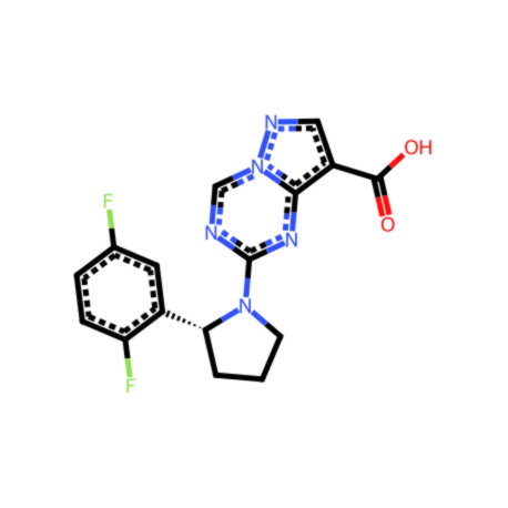 O=C(O)c1cnn2cnc(N3CCC[C@@H]3c3cc(F)ccc3F)nc12